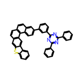 c1ccc(-c2nc(-c3ccccc3)nc(-c3cccc(-c4ccc5c(ccc6ccc7cc8sc9ccccc9c8cc7c65)c4)c3)n2)cc1